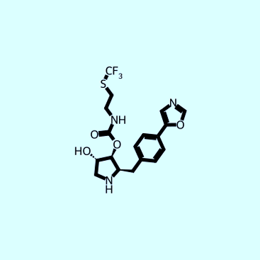 O=C(NCCSC(F)(F)F)O[C@@H]1[C@@H](O)CN[C@@H]1Cc1ccc(-c2cnco2)cc1